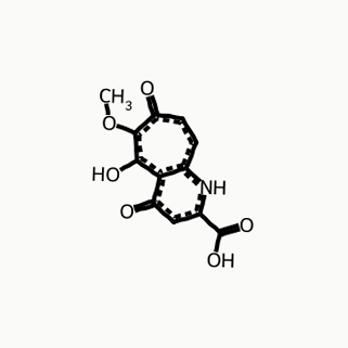 COc1c(O)c2c(=O)cc(C(=O)O)[nH]c2ccc1=O